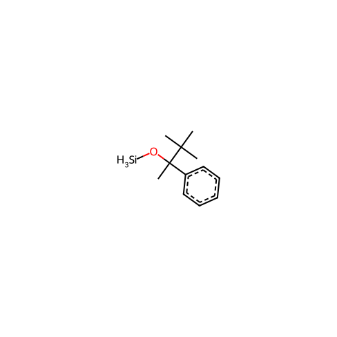 CC(C)(C)C(C)(O[SiH3])c1ccccc1